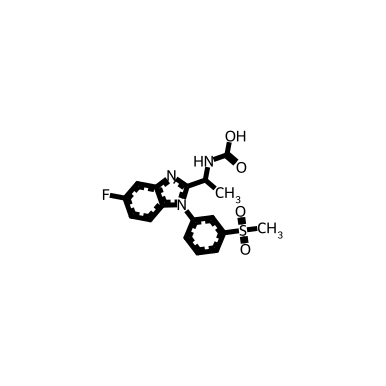 CC(NC(=O)O)c1nc2cc(F)ccc2n1-c1cccc(S(C)(=O)=O)c1